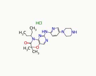 CCC(CC)N1C(=O)C(C)(C)Oc2cnc(Nc3ccc(N4CCNCC4)cn3)nc21.Cl